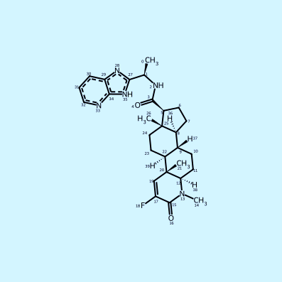 C[C@@H](NC(=O)[C@H]1CC[C@H]2[C@@H]3CC[C@H]4N(C)C(=O)C(F)=C[C@]4(C)[C@H]3CC[C@]12C)c1nc2cccnc2[nH]1